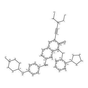 CCN(C#Cc1cc2cnc(Nc3ccc(OC4CCN(C)CC4)cc3)nc2n(Cc2nccnc2C2CCCC2)c1=O)CC